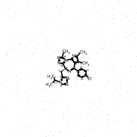 Cc1sc2c(c1C)C(c1ccc(Cl)cc1)=N[C@@H](Cc1nncn1C(C)C)c1nnc(C)n1-2